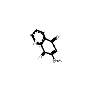 CC(=O)NC1=CC(=O)c2cccnc2C1=O